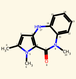 Cc1cc2c(n1C)C(=O)N(C)c1ccccc1N2